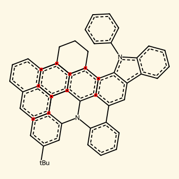 CC(C)(C)c1ccc(-c2ccccc2)c(N(c2ccccc2-c2ccc3c(c2)c2ccccc2n3-c2ccccc2)c2ccccc2-c2cccc3cccc(C4CCCCC4)c23)c1